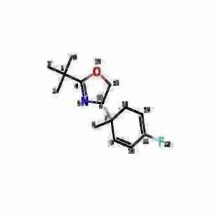 CC(C)(C)C1=N[C@@H](C2(C)C=CC(F)=CC2)CO1